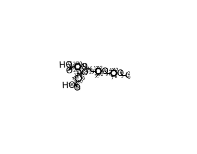 CC(C)COc1ccc(COc2ccc(CCCOc3ccc(C(=O)O)cc3C(=O)N3CCC(C(=O)O)CC3)cc2)cc1